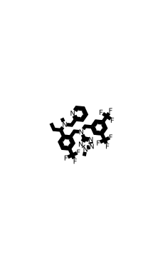 CCC(c1ccc(C(F)(F)F)cc1CN(Cc1cc(C(F)(F)F)cc(C(F)(F)F)c1)c1nnn(C)n1)N(C)Cc1ccccn1